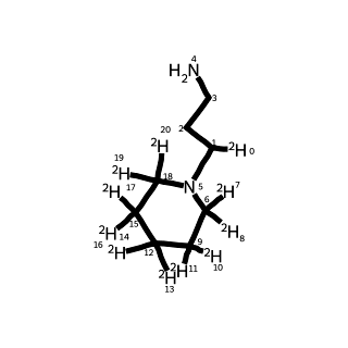 [2H]C(CCN)N1C([2H])([2H])C([2H])([2H])C([2H])([2H])C([2H])([2H])C1([2H])[2H]